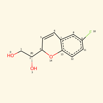 OC[C@@H](O)C1C=Cc2cc(F)ccc2O1